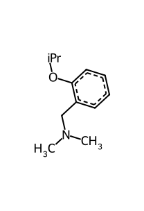 CC(C)Oc1ccccc1CN(C)C